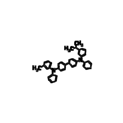 Cc1cccc(N(c2ccccc2)c2ccc(-c3ccc(N(c4ccccc4)c4cccc(C(C)C)c4)cc3)cc2)c1